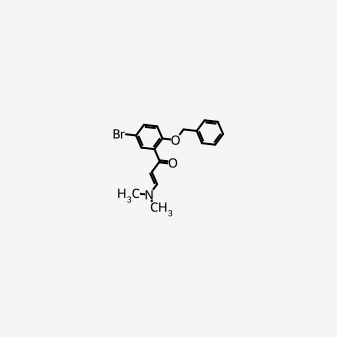 CN(C)/C=C/C(=O)c1cc(Br)ccc1OCc1ccccc1